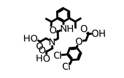 CC(C)c1cccc(C(C)C)c1NC(=O)CN(CC(=O)O)CC(=O)O.O=C(O)COc1ccc(Cl)c(Cl)c1